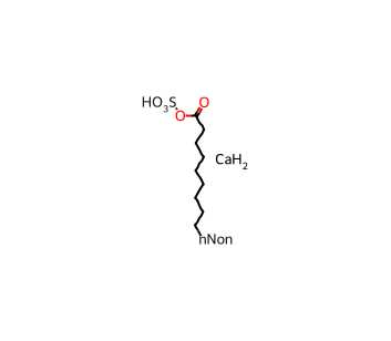 CCCCCCCCCCCCCCCCCC(=O)OS(=O)(=O)O.[CaH2]